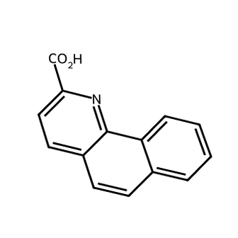 O=C(O)c1ccc2ccc3ccccc3c2n1